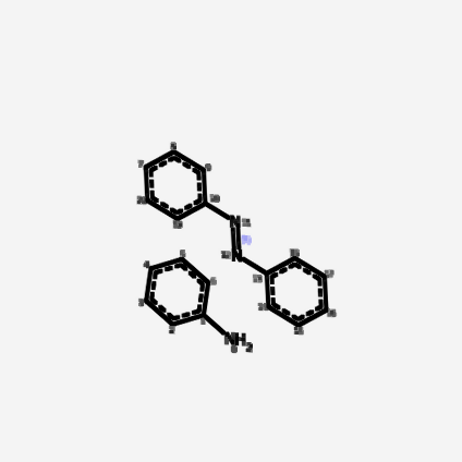 Nc1ccccc1.c1ccc(/N=N/c2ccccc2)cc1